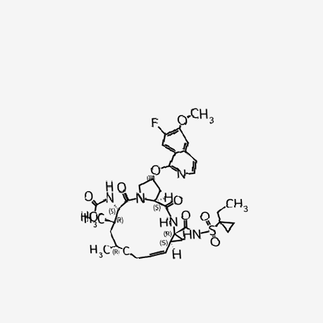 CCC1(S(=O)(=O)NC(=O)[C@@]23C[C@H]2C=CCC[C@@H](C)C[C@@H](C)[C@H](NC(=O)O)C(=O)N2C[C@H](Oc4nccc5cc(OC)c(F)cc45)C[C@H]2C(=O)N3)CC1